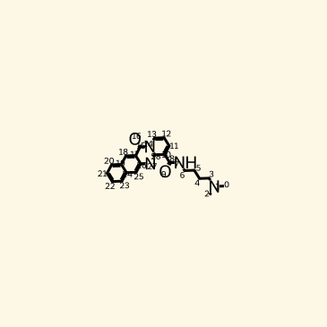 CN(C)CCCCNC(=O)c1cccn2c(=O)c3cc4ccccc4cc3nc12